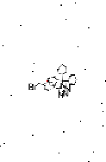 BrCc1ccc(-c2nnnn2C(c2ccccc2)(c2ccccc2)c2ccccc2)cc1